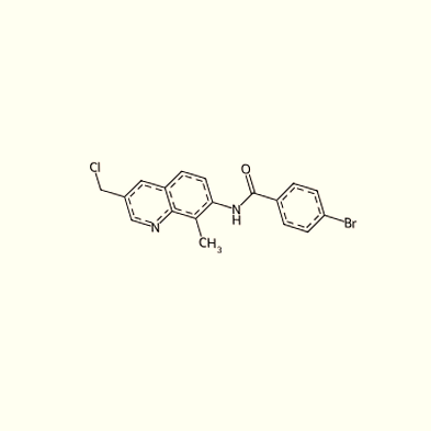 Cc1c(NC(=O)c2ccc(Br)cc2)ccc2cc(CCl)cnc12